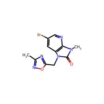 Cc1noc(Cn2c(=O)n(C)c3ncc(Br)cc32)n1